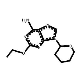 CCOc1nc(N)c2ncn(C3CCCCO3)c2n1